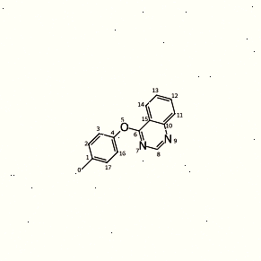 Cc1ccc(Oc2ncnc3ccccc23)cc1